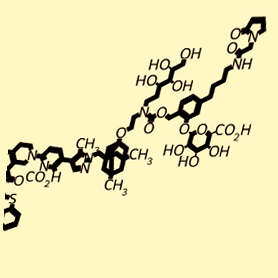 Cc1c(-c2ccc(N3CCc4cccc(C(=O)Nc5nc6ccccc6s5)c4C3)nc2C(=O)O)cnn1CC12CC3(C)CC(C)(C1)CC(OCCN(CC[C@@H](O)[C@H](O)[C@H](O)CO)C(=O)OCc1ccc(CCCCNC(=O)CN4CC=CC4=O)cc1O[C@@H]1O[C@H](C(=O)O)[C@@H](O)[C@H](O)[C@H]1O)(C3)C2